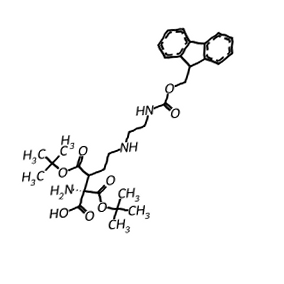 CC(C)(C)OC(=O)C(CCNCCNC(=O)OCC1c2ccccc2-c2ccccc21)[C@](N)(C(=O)O)C(=O)OC(C)(C)C